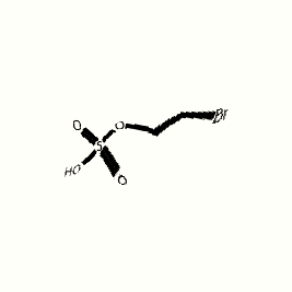 O=S(=O)(O)OCCBr